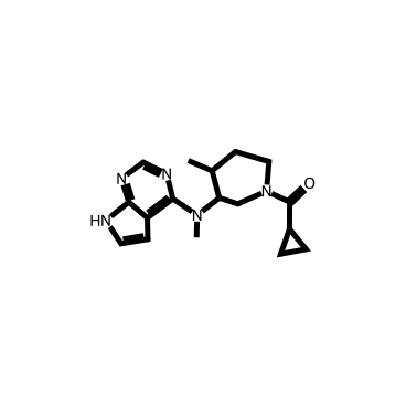 CC1CCN(C(=O)C2CC2)CC1N(C)c1ncnc2[nH]ccc12